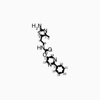 Cc1nc(N)sc1CCNC(=O)Oc1cnc(-c2ccccc2)nc1